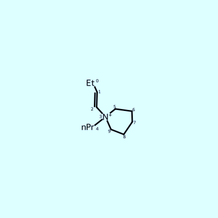 CCC=C[N+]1(CCC)CCCCC1